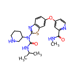 CNC(=O)c1cc(Oc2ccc3nc(N(C(=O)NC(C)C)C4CCCNC4)sc3c2)ccn1